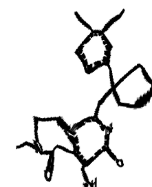 Cc1ccc(C2(Cc3nc(=O)c(O)c4n3CCN(C)C4=O)CCCC2)cc1C